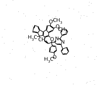 COc1ccc(C2(c3cc(-c4ccccc4)nc(-c4ccccc4)n3)C=Cc3c4c(c5cc(OC)c(OC)cc5c3O2)-c2ccccc2C4(C)C)cc1